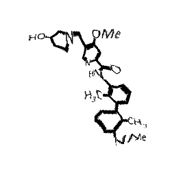 CNc1cccc(-c2cccc(NC(=O)c3cc(OC)c(CN4CC[C@@H](O)C4)cn3)c2C)c1C